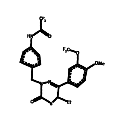 CCC1SC(=O)N(Cc2ccc(NC(=O)C(F)(F)F)cc2)N=C1c1ccc(OC)c(OC(F)(F)F)c1